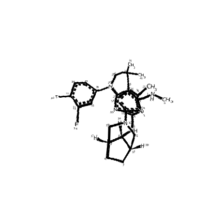 CNc1nc(N[C@H]2[C@@H]3CC[C@H]2CN(c2nnc(C)o2)C3)nc2c1C(C)(C)CN2c1ccc(F)c(F)c1